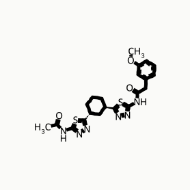 COc1cccc(CC(=O)Nc2nnc([C@@H]3CCC[C@@H](c4nnc(NC(C)=O)s4)C3)s2)c1